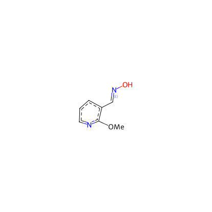 COc1ncccc1/C=N/O